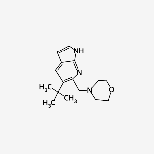 CC(C)(C)c1cc2cc[nH]c2nc1CN1CCOCC1